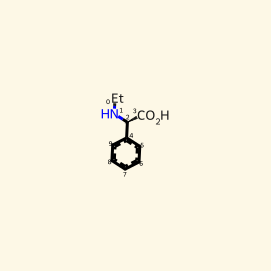 CCN[C@@H](C(=O)O)c1ccccc1